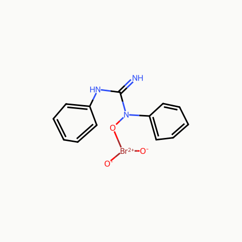 N=C(Nc1ccccc1)N(O[Br+2]([O-])[O-])c1ccccc1